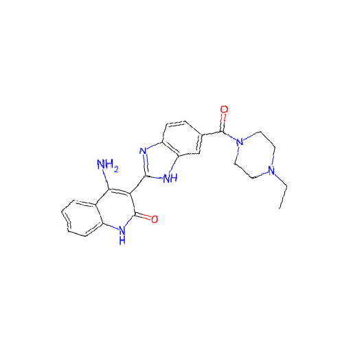 CCN1CCN(C(=O)c2ccc3nc(-c4c(N)c5ccccc5[nH]c4=O)[nH]c3c2)CC1